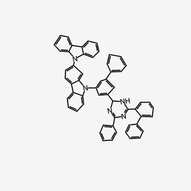 c1ccc(C2=NC(c3cc(-c4ccccc4)cc(-n4c5ccccc5c5ccc(-n6c7ccccc7c7ccccc76)cc54)c3)NC(c3ccccc3-c3ccccc3)=N2)cc1